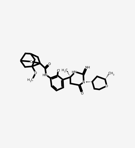 COC12CC3CC(C1)CC2(C(=O)Nc1cccc([C@]2(C)CC(=O)N([C@H]4CCO[C@@H](C)C4)C(=N)N2)c1Cl)C3